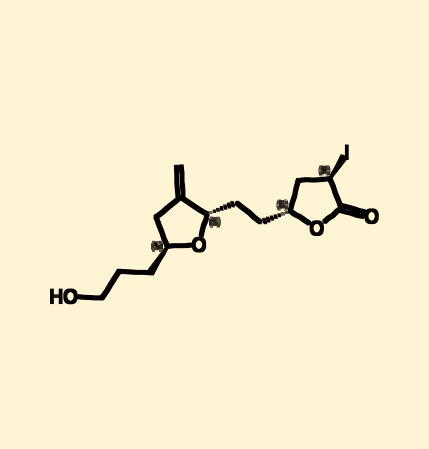 C=C1C[C@H](CCCO)O[C@H]1CC[C@@H]1C[C@@H](I)C(=O)O1